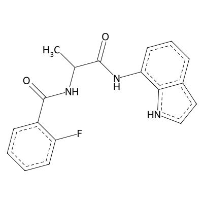 CC(NC(=O)c1ccccc1F)C(=O)Nc1cccc2cc[nH]c12